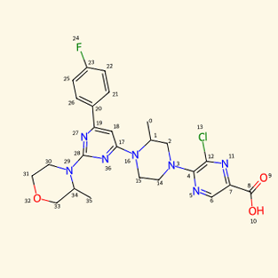 CC1CN(c2ncc(C(=O)O)nc2Cl)CCN1c1cc(-c2ccc(F)cc2)nc(N2CCOCC2C)n1